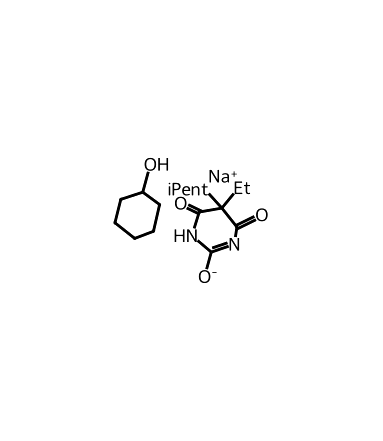 CCCC(C)C1(CC)C(=O)N=C([O-])NC1=O.OC1CCCCC1.[Na+]